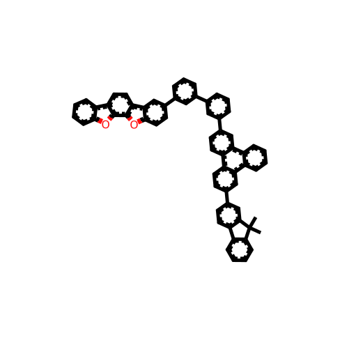 CC1(C)c2ccccc2-c2ccc(-c3ccc4c5ccc(-c6cccc(-c7cccc(-c8ccc9oc%10c(ccc%11c%12ccccc%12oc%11%10)c9c8)c7)c6)cc5c5ccccc5c4c3)cc21